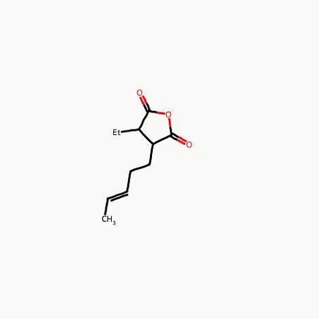 CC=CCCC1C(=O)OC(=O)C1CC